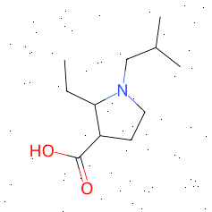 CCC1C(C(=O)O)CCN1CC(C)C